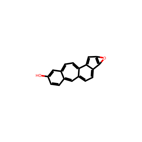 Oc1ccc2cc3ccc4c5c(cc4c3ccc2c1)O5